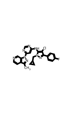 Cc1nn(-c2cc(Nc3c(Cl)c(-c4ccc(F)cc4)nn3CC3CC3)ncn2)c2cnccc12